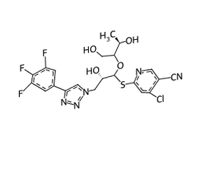 C[C@@H](O)C(CO)OC(Sc1cc(Cl)c(C#N)cn1)[C@@H](O)Cn1cc(-c2cc(F)c(F)c(F)c2)nn1